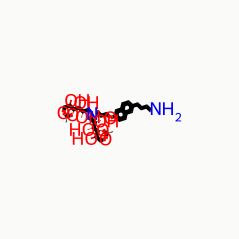 C[C@@H]1OC[C@@H](O)[C@H]([C@H](O)[C@@H](O)CN(CCCOc2ccc3cc(CCCCN)ccc3c2)C[C@H](O)[C@@H](O)[C@@H]2O[C@H](C)OC[C@H]2O)O1